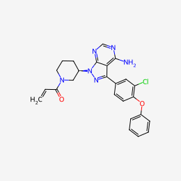 C=CC(=O)N1CCC[C@@H](n2nc(-c3ccc(Oc4ccccc4)c(Cl)c3)c3c(N)ncnc32)C1